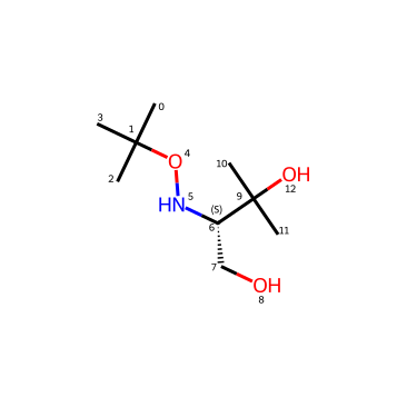 CC(C)(C)ON[C@@H](CO)C(C)(C)O